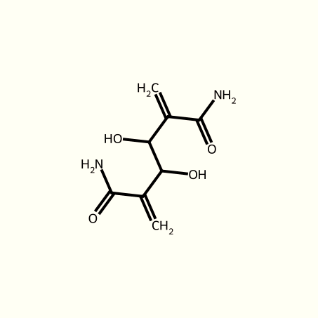 C=C(C(N)=O)C(O)C(O)C(=C)C(N)=O